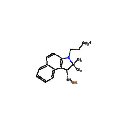 Br.CC1c2c(ccc3ccccc23)N(CCC(=O)O)C1(C)C